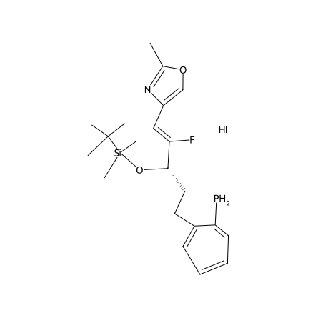 Cc1nc(C=C(F)[C@H](CCc2ccccc2P)O[Si](C)(C)C(C)(C)C)co1.I